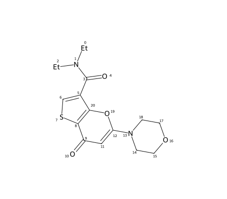 CCN(CC)C(=O)c1csc2c(=O)cc(N3CCOCC3)oc12